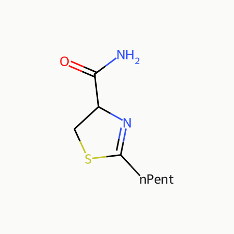 CCCCCC1=NC(C(N)=O)CS1